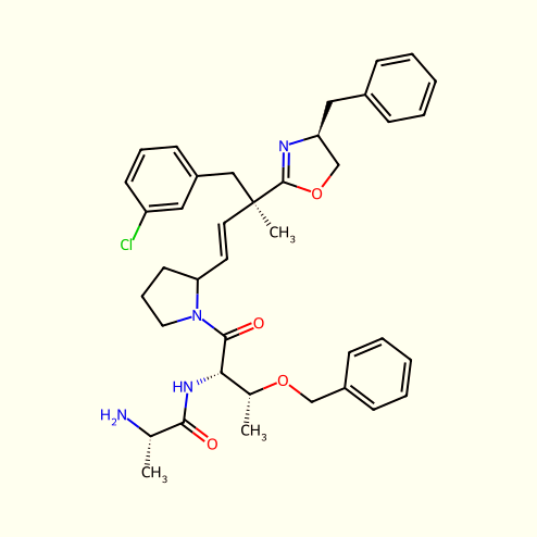 C[C@H](N)C(=O)N[C@H](C(=O)N1CCCC1/C=C/[C@@](C)(Cc1cccc(Cl)c1)C1=N[C@@H](Cc2ccccc2)CO1)[C@@H](C)OCc1ccccc1